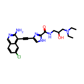 CCN(CC)CC(O)CNC(=O)c1nc(C#Cc2c(N)ncc3ccc(Cl)cc23)c[nH]1